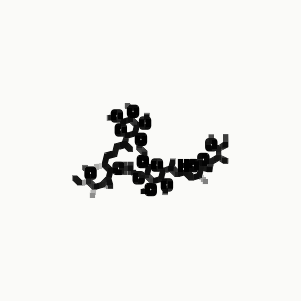 CC[C@H](OC)[C@@H](C)[C@H]1C[C@@](O)([C@H](C)/C=C/C=C(\C)[C@@H]2O[C@H](OCCO[C@H]3[C@H](OC)[C@@H](OC)[C@@H](OC)O[C@@H]3/C(C)=C/C=C/[C@@H](C)[C@@H](O)C3C[C@@H]3[C@H](C)[C@H](CC)OC)[C@H](OC)[C@@H](OC)[C@@H]2OC)O1